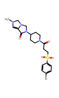 CN1C=C2C(=O)N(C3CCN(C(=O)CCS(=O)(=O)c4ccc(Br)cc4)CC3)CN2C1